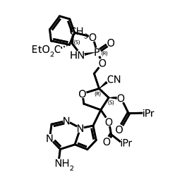 CCOC(=O)[C@H](C)N[P@@](=O)(OC[C@@]1(C#N)OCC(OC(=O)C(C)C)(c2ccc3c(N)ncnn23)[C@@H]1OC(=O)C(C)C)Oc1ccccc1